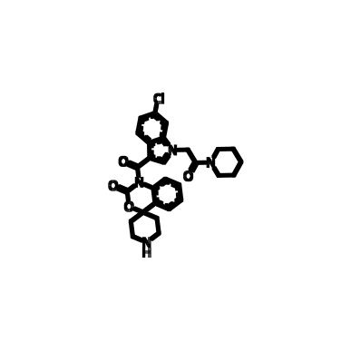 O=C(Cn1cc(C(=O)N2C(=O)OC3(CCNCC3)c3ccccc32)c2ccc(Cl)cc21)N1CCCCC1